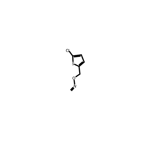 C=NOCc1ccc(Cl)s1